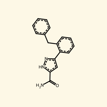 NC(=O)c1cc(-c2ccccc2Cc2ccccc2)n[nH]1